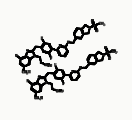 COCCn1c(Cc2cc(F)c(-c3cccc(OCc4ccc5c(c4)CN(S(C)(=O)=O)C5)n3)cc2F)nc2c(F)cc(C(=O)O)cc21.COCCn1c(Cc2cc(F)c(-c3cccc(OCc4ccc5c(c4)CN(S(C)(=O)=O)C5)n3)cc2F)nc2c(F)cc(C(=O)O)cc21